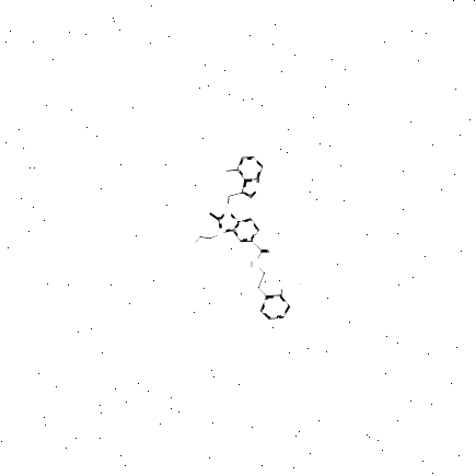 COc1ccccc1CCNC(=O)c1ccc2c(c1)n(CCC=O)c(=O)n2Cc1csc2cccc(C)c12